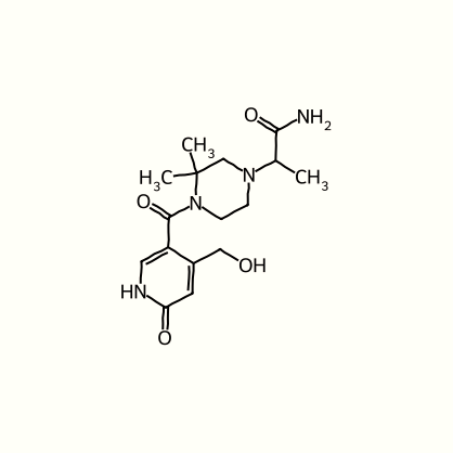 CC(C(N)=O)N1CCN(C(=O)c2c[nH]c(=O)cc2CO)C(C)(C)C1